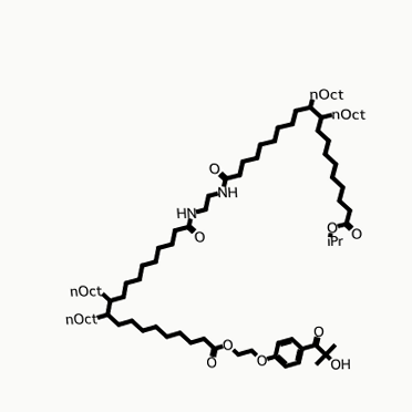 CCCCCCCCC(CCCCCCCCC(=O)NCCNC(=O)CCCCCCCCC(CCCCCCCC)C(CCCCCCCC)CCCCCCCCC(=O)OC(C)C)C(CCCCCCCC)CCCCCCCCC(=O)OCCOc1ccc(C(=O)C(C)(C)O)cc1